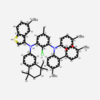 Cc1cc(N(c2ccc(C(C)(C)C)cc2)c2ccc(C(C)(C)C)cc2-c2ccc(C(C)(C)C)cc2)c(Cl)c(N(c2ccc3c(c2)C(C)(C)CCC3(C)C)c2csc3ccc(C(C)(C)C)cc23)c1